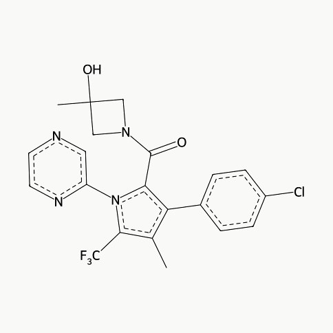 Cc1c(-c2ccc(Cl)cc2)c(C(=O)N2CC(C)(O)C2)n(-c2cnccn2)c1C(F)(F)F